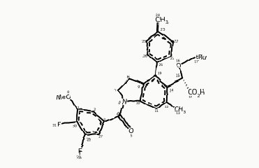 COc1cc(C(=O)N2CCc3c2cc(C)c([C@H](OC(C)(C)C)C(=O)O)c3-c2ccc(C)cc2)cc(F)c1F